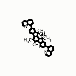 Cc1c(C)c2c(c3c1-c1ccc(-c4cccc5cccnc45)cc1C3(C)C)C(C)(C)c1cc(-c3cccc4cccnc34)ccc1-2